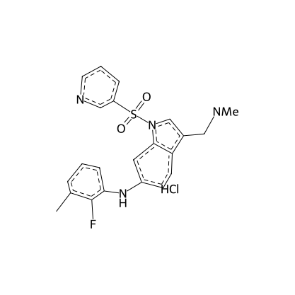 CNCc1cn(S(=O)(=O)c2cccnc2)c2cc(Nc3cccc(C)c3F)ccc12.Cl